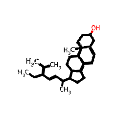 CCC(C=CC(C)C1CCC2C1CCC1C2CC=C2CC(O)CCC21C)C(C)C